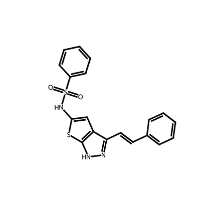 O=S(=O)(Nc1cc2c(/C=C/c3ccccc3)n[nH]c2s1)c1ccccc1